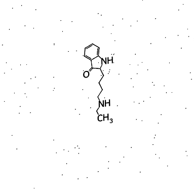 CCNCCCCC1Nc2ccccc2C1=O